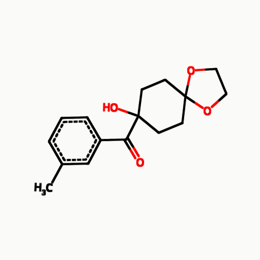 Cc1cccc(C(=O)C2(O)CCC3(CC2)OCCO3)c1